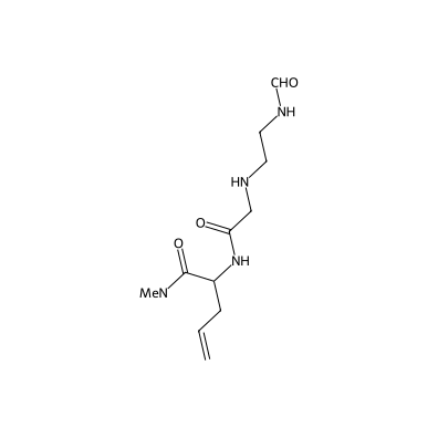 C=CCC(NC(=O)CNCCNC=O)C(=O)NC